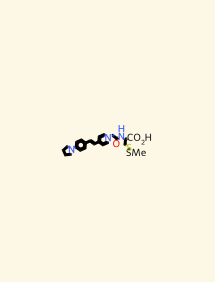 CSSCC(NC(=O)C[n+]1ccc(/C=C/c2ccc(N3CCCC3)cc2)cc1)C(=O)O